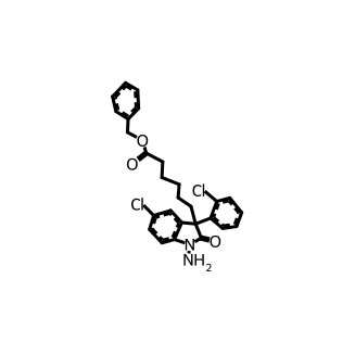 NN1C(=O)C(CCCCCC(=O)OCc2ccccc2)(c2ccccc2Cl)c2cc(Cl)ccc21